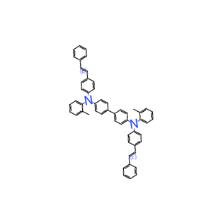 Cc1ccccc1N(c1ccc(/C=C/c2ccccc2)cc1)c1ccc(-c2ccc(N(c3ccc(/C=C/c4ccccc4)cc3)c3ccccc3C)cc2)cc1